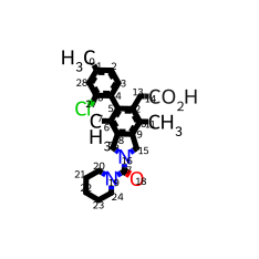 Cc1ccc(-c2c(C)c3c(c(C)c2CC(=O)O)CN(C(=O)N2CCCCC2)C3)c(Cl)c1